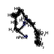 CCCCC/C=C\C/C=C\CCCCCCCCC1(CCCCCCCC/C=C\C/C=C\CCCCC)OC[C@H](CN(C)CCCCCC(=O)NCCCCCC(=O)N2C[C@H](OP(=O)(O)OC[C@@H]3C[C@@H](O)CN3C(=O)CCCSSCCC(=O)N/N=C(\C)c3ccc(OCCCC(=O)NCCCCCCNC(=O)CCC(NC(=O)c4ccc(NCc5cnc6nc(N)[nH]c(=O)c6n5)cc4)C(=O)O)cc3)C[C@H]2COP(=O)(O)S)O1